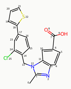 Cc1nc2ccc(C(=O)O)cc2n1Cc1ccc(-c2cccs2)cc1Cl